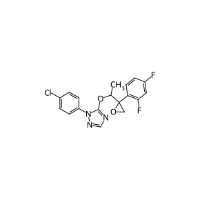 CC(Oc1ncnn1-c1ccc(Cl)cc1)C1(c2ccc(F)cc2F)CO1